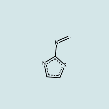 [CH]=Nc1nccs1